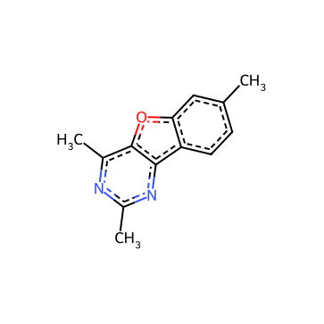 Cc1ccc2c(c1)oc1c(C)nc(C)nc12